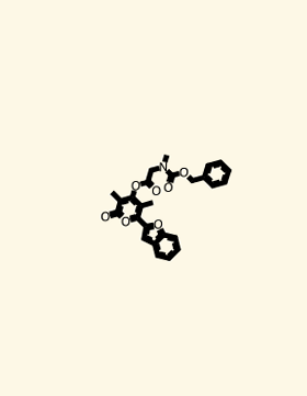 Cc1c(-c2cc3ccccc3o2)oc(=O)c(C)c1OC(=O)CN(C)C(=O)OCc1ccccc1